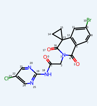 O=C(CN1C(=O)c2ccc(Br)cc2C2(CC2)C1=O)Nc1ncc(Cl)cn1